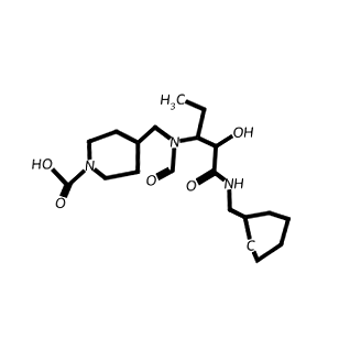 CCC(C(O)C(=O)NCC1CCCCC1)N(C=O)CC1CCN(C(=O)O)CC1